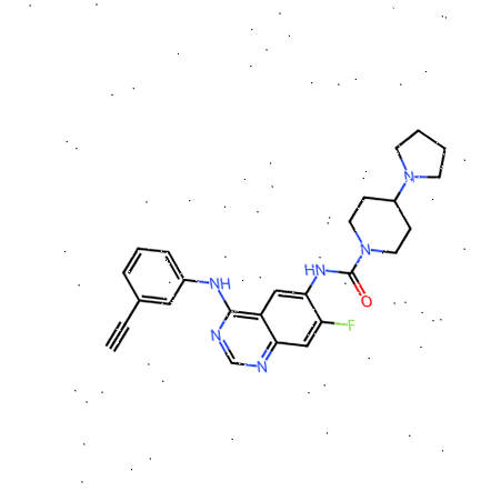 C#Cc1cccc(Nc2ncnc3cc(F)c(NC(=O)N4CCC(N5CCCC5)CC4)cc23)c1